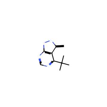 C=C1NNc2ncnc(C(C)(C)C)c21